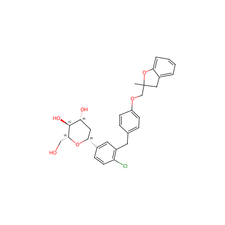 CC1(COc2ccc(Cc3cc([C@H]4C[C@@H](O)[C@H](O)[C@@H](CO)O4)ccc3Cl)cc2)Cc2ccccc2O1